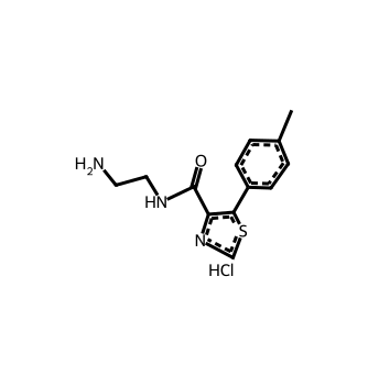 Cc1ccc(-c2scnc2C(=O)NCCN)cc1.Cl